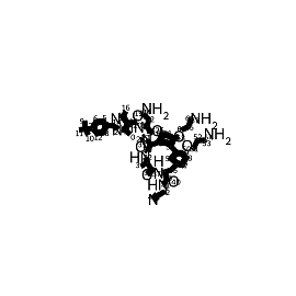 Cc1nc(-c2ccc(C(C)(C)C)cc2)nc(C)c1C(=O)NC(CCN)C(=O)N(C)C1C(=O)NC(C)C(=O)NC(C(=O)NCC#N)Cc2ccc(OCCCN)c(c2)-c2cc1ccc2OCCCN